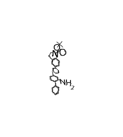 CC(C)(C)OC(=O)N1CCc2cc(OCc3ccc(-c4ccccc4)c(N)c3)ccc21